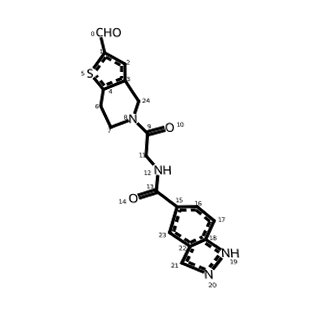 O=Cc1cc2c(s1)CCN(C(=O)CNC(=O)c1ccc3[nH]ncc3c1)C2